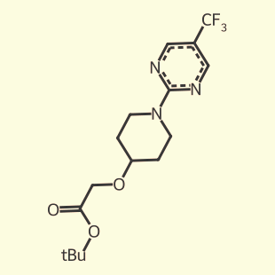 CC(C)(C)OC(=O)COC1CCN(c2ncc(C(F)(F)F)cn2)CC1